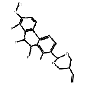 C=CC1COC(c2ccc3c(c2F)C(F)C(F)c2c-3ccc(OCC)c2F)OC1